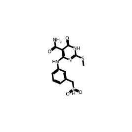 CSc1nc(Nc2cccc(C[SH](=O)=O)c2)c(C(N)=O)c(=O)[nH]1